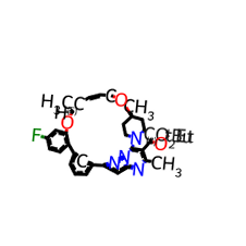 CCOC(=O)[C@@H](OC(C)(C)C)c1c(C)nc2cc3nn2c1N1CCC(C)(CC1)OCC=CC[C@H](C)Oc1cc(F)ccc1-c1cccc-3c1